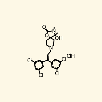 CN1C(=O)OC2(CCN(CC=C(c3cc(Cl)cc(Cl)c3)c3cc(Cl)cc(Cl)c3)CC2)C1(C)O.Cl